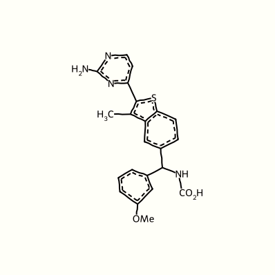 COc1cccc(C(NC(=O)O)c2ccc3sc(-c4ccnc(N)n4)c(C)c3c2)c1